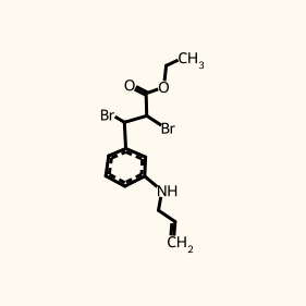 C=CCNc1cccc(C(Br)C(Br)C(=O)OCC)c1